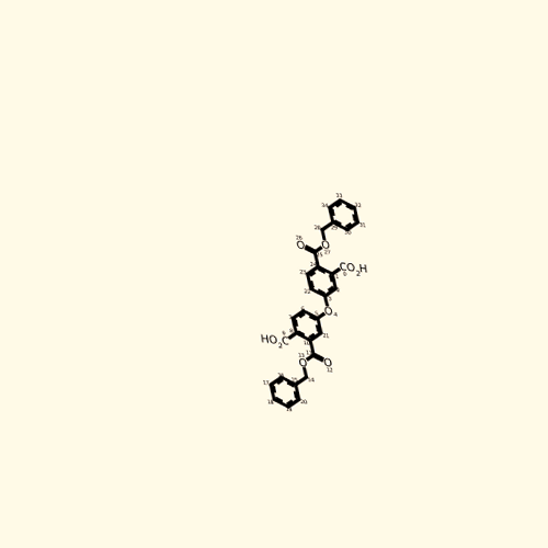 O=C(O)c1cc(Oc2ccc(C(=O)O)c(C(=O)OCc3ccccc3)c2)ccc1C(=O)OCc1ccccc1